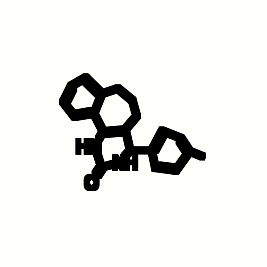 Cc1ccc(C2NC(=O)NC3=C2CCCc2ccccc23)cc1